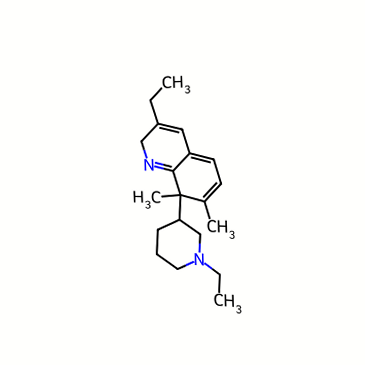 CCC1=CC2=CC=C(C)C(C)(C3CCCN(CC)C3)C2=NC1